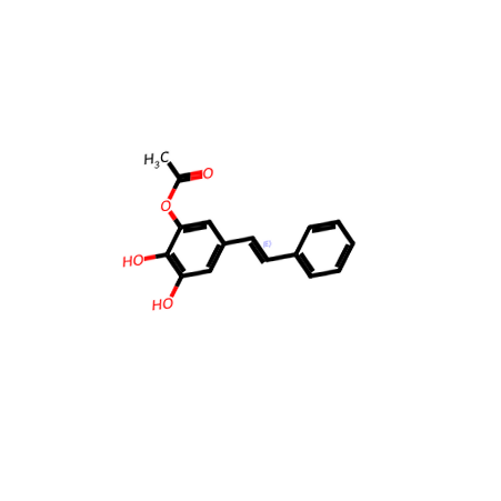 CC(=O)Oc1cc(/C=C/c2ccccc2)cc(O)c1O